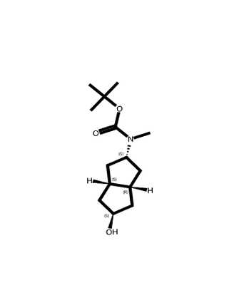 CN(C(=O)OC(C)(C)C)[C@H]1C[C@H]2C[C@H](O)C[C@H]2C1